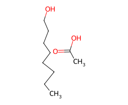 CC(=O)O.CCCCCCCCO